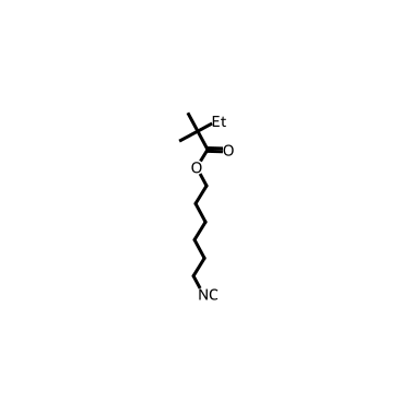 [C-]#[N+]CCCCCCOC(=O)C(C)(C)CC